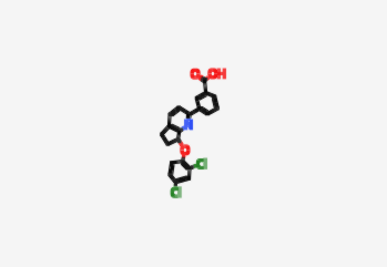 O=C(O)c1cccc(-c2ccc3c(n2)C(Oc2ccc(Cl)cc2Cl)CC3)c1